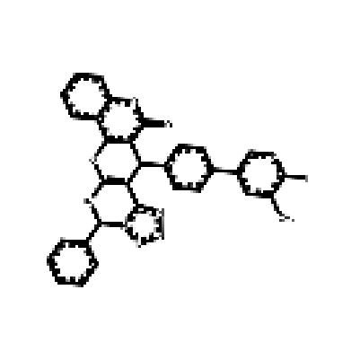 Cc1cc(-c2ccc(C3C4=C(NC(c5ccccc5)n5nnnc54)Oc4c3c(=O)oc3ccccc43)cc2)cnc1F